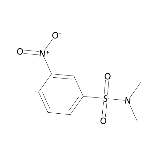 CN(C)S(=O)(=O)c1cc[c]c([N+](=O)[O-])c1